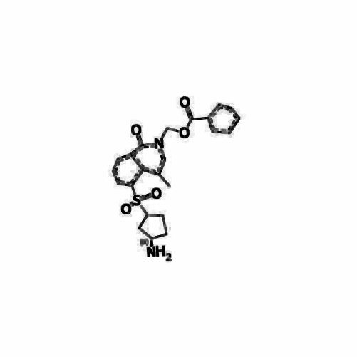 Cc1cn(COC(=O)c2ccccc2)c(=O)c2cccc(S(=O)(=O)C3CC[C@@H](N)C3)c12